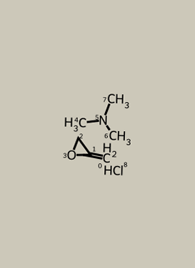 C=C1CO1.CN(C)C.Cl